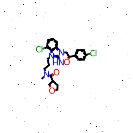 CN(CCCn1c(=N)n(CC(=O)c2ccc(Cl)cc2)c2cccc(Cl)c21)C(=O)C1CCOC1